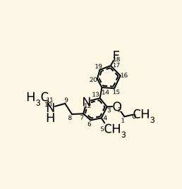 CCOc1c(C)cc(CCNC)nc1-c1ccc(F)cc1